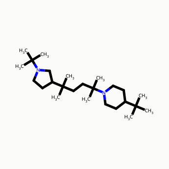 CC(C)(C)C1CCN(C(C)(C)CCC(C)(C)C2CCN(C(C)(C)C)C2)CC1